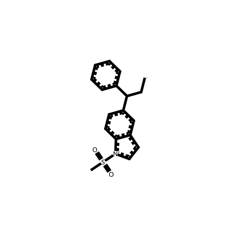 [CH2]CC(c1ccccc1)c1ccc2c(ccn2S(C)(=O)=O)c1